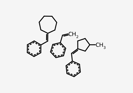 C(=C1CCCCCC1)c1ccccc1.C=Cc1ccccc1.CC1CCC(=Cc2ccccc2)C1